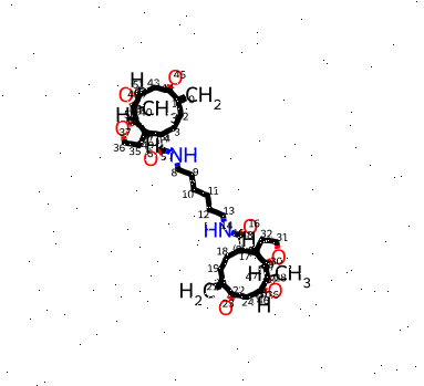 C=C1CC[C@H](C(=O)NCCCCCCNC(=O)[C@H]2CCC(=C)C(=O)C[C@@H]3O[C@]3(C)[C@H]3OCC[C@@H]23)[C@@H]2CCO[C@@H]2[C@@]2(C)O[C@H]2CC1=O